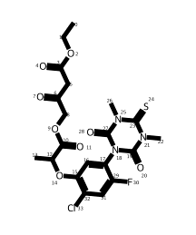 CCOC(=O)CC(=O)COC(=O)C(C)Oc1cc(-n2c(=O)n(C)c(=S)n(C)c2=O)c(F)cc1Cl